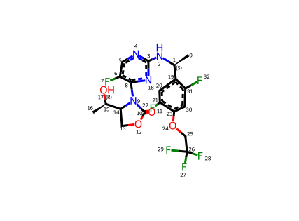 C[C@H](Nc1ncc(F)c(N2C(=O)OCC2[C@@H](C)O)n1)c1cc(F)c(OCC(F)(F)F)cc1F